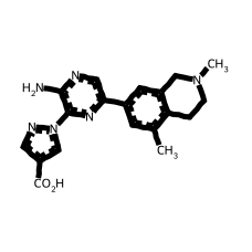 Cc1cc(-c2cnc(N)c(-n3cc(C(=O)O)cn3)n2)cc2c1CCN(C)C2